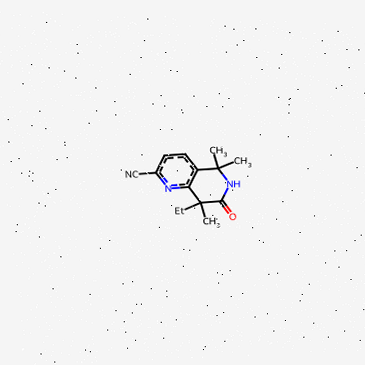 CCC1(C)C(=O)NC(C)(C)c2ccc(C#N)nc21